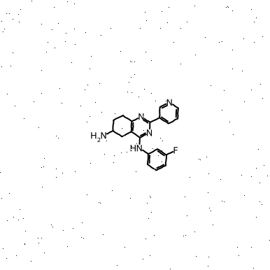 NC1CCc2nc(-c3cccnc3)nc(Nc3cccc(F)c3)c2C1